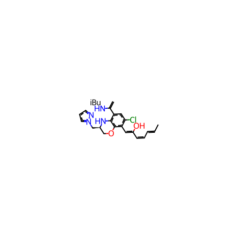 C=C(N[C@@H](C)CC)c1cc(Cl)c(/C=C(O)/C=C\C=C\C)c2c1N[C@H](Cn1cccn1)CO2